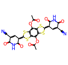 CC(=O)Oc1c2c(c(OC(C)=O)c3c1SC(=C1C=C(C#N)C(=O)NC1=O)S3)SC(=C1C=C(C#N)C(=O)NC1=O)S2